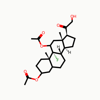 CC(=O)OC1CC[C@@]2(C)C(CC[C@H]3[C@@H]4CC[C@H](C(=O)CO)[C@@]4(C)CC(OC(C)=O)[C@@]32F)C1